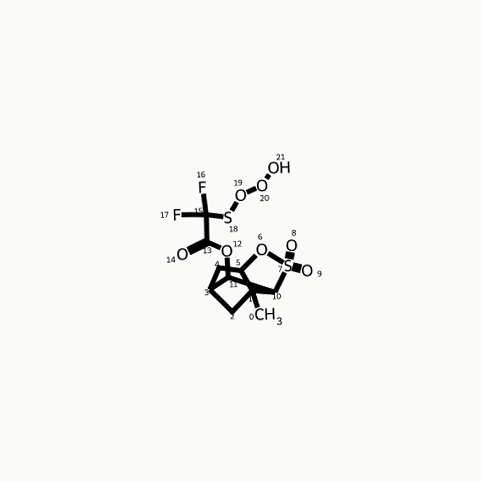 CC12CC3CC1OS(=O)(=O)C2C3OC(=O)C(F)(F)SOOO